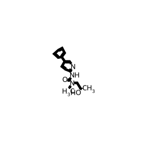 CCN(C[C@H](C)O)C(=O)Nc1ccc(-c2ccccc2)cn1